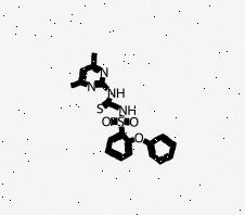 Cc1cc(C)nc(NC(=S)NS(=O)(=O)c2ccccc2Oc2ccccc2)n1